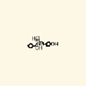 CC[C@@H](CCc1ccc(O)cc1)NC[C@H](O)c1ccccc1.Cl